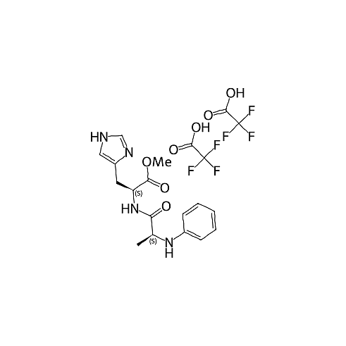 COC(=O)[C@H](Cc1c[nH]cn1)NC(=O)[C@H](C)Nc1ccccc1.O=C(O)C(F)(F)F.O=C(O)C(F)(F)F